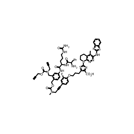 C#CCOC(=O)N(CC#C)Cc1cc(NC(=O)C(CCCNC(N)=O)NC(=O)C(N)C(C)C)ccc1COC(=O)N(C)CC#Cc1ccc(OCCCc2sc(N3CCCc4c3nnc(Nc3nc5ccccc5s3)c4C)nc2C(=O)O)c(F)c1